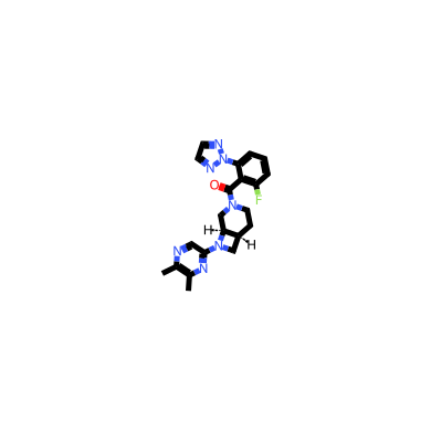 Cc1ncc(N2C[C@@H]3CCN(C(=O)c4c(F)cccc4-n4nccn4)C[C@@H]32)nc1C